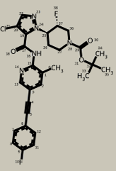 Cc1cc(C#Cc2ccc(F)cc2)cnc1NC(=O)c1c(Cl)cnn1[C@@H]1CCN(C(=O)OC(C)(C)C)C[C@H]1F